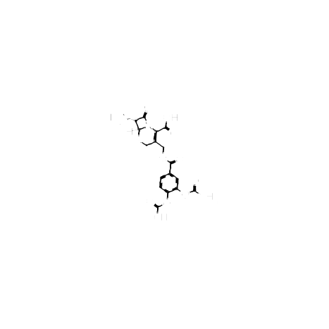 CC(=O)Oc1ccc(C(=O)OCC2=C(C(=O)O)N3C(=O)[C@H](N)[C@@H]3SC2)cc1OC(C)=O